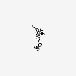 CCCCOC(=O)[C@@H](NC(=O)CC(=O)C=Cc1cccc([N+](=O)[O-])c1)C(C)C